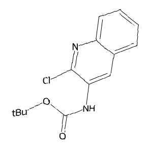 CC(C)(C)OC(=O)Nc1cc2ccccc2nc1Cl